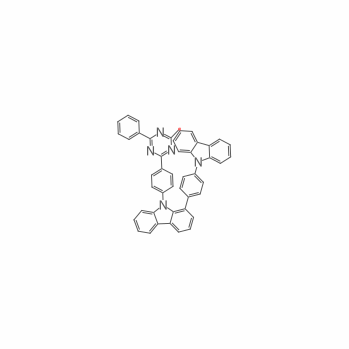 Cc1nc(-c2ccccc2)nc(-c2ccc(-n3c4ccccc4c4cccc(-c5ccc(-n6c7ccccc7c7ccccc76)cc5)c43)cc2)n1